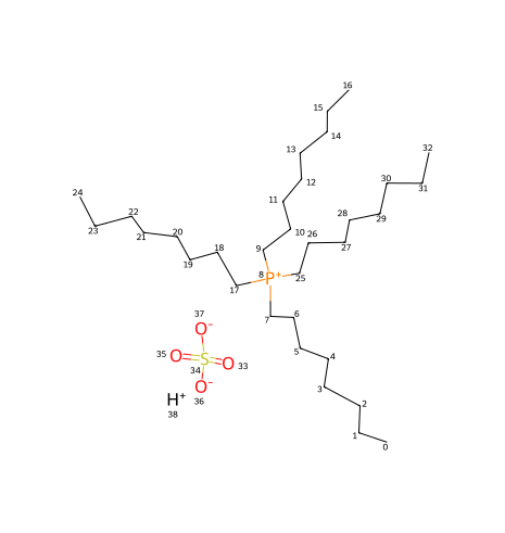 CCCCCCCC[P+](CCCCCCCC)(CCCCCCCC)CCCCCCCC.O=S(=O)([O-])[O-].[H+]